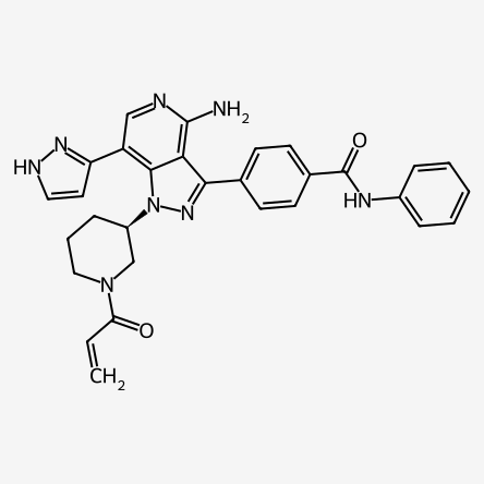 C=CC(=O)N1CCC[C@@H](n2nc(-c3ccc(C(=O)Nc4ccccc4)cc3)c3c(N)ncc(-c4cc[nH]n4)c32)C1